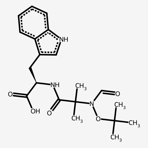 CC(C)(C)ON(C=O)C(C)(C)C(=O)N[C@H](Cc1c[nH]c2ccccc12)C(=O)O